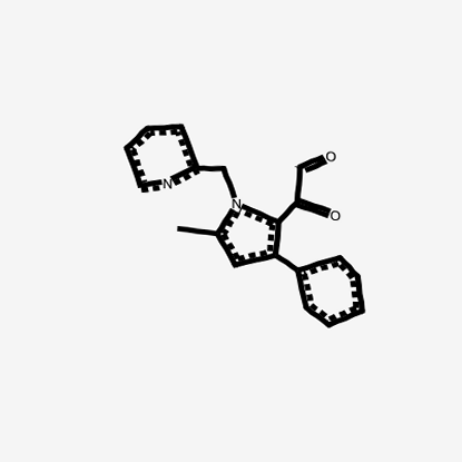 Cc1cc(-c2ccccc2)c(C(=O)[C]=O)n1Cc1ccccn1